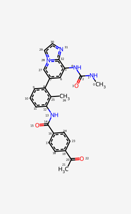 CNC(=O)Nc1cc(-c2cccc(NC(=O)c3ccc(C(C)=O)cc3)c2C)cn2ccnc12